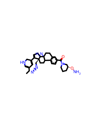 CCC1=CNCC(C2=CCC3[C@]2(CN=[N+]=[N-])CCC2c4ccc(C(=O)N5CCC[C@@H](ON)C5)cc4CC[C@]23N)=C1